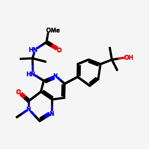 COC(=O)NC(C)(C)Nc1nc(-c2ccc(C(C)(C)O)cc2)cc2ncn(C)c(=O)c12